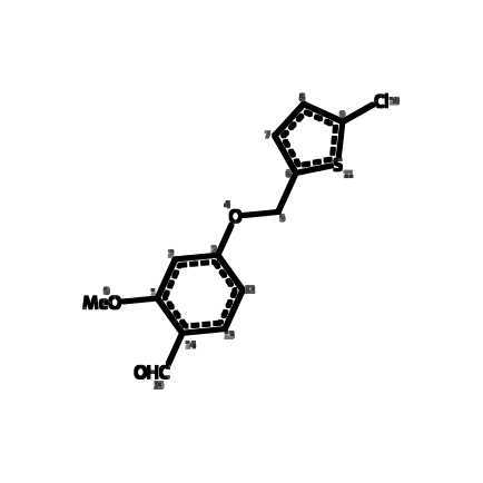 COc1cc(OCc2ccc(Cl)s2)ccc1C=O